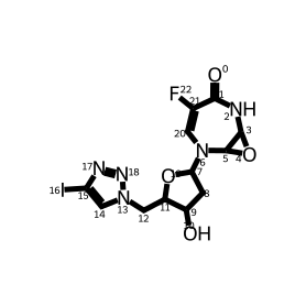 O=C1NC2OC2N(C2CC(O)C(Cn3cc(I)nn3)O2)C=C1F